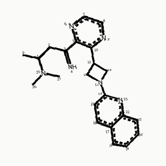 CC(CC(=N)c1nccnc1C1CN(c2ccc3ccccc3n2)C1)N(C)C